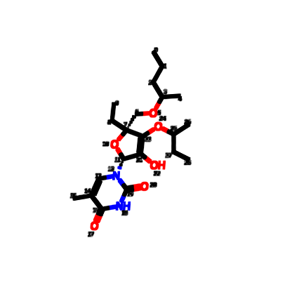 CCCC(C)OC[C@@]1(CC)O[C@@H](n2cc(C)c(=O)[nH]c2=O)C(O)=C1OC(C)CC